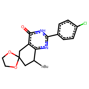 CCCCC1CC2(Cc3c1nc(-c1ccc(Cl)cc1)[nH]c3=O)OCCO2